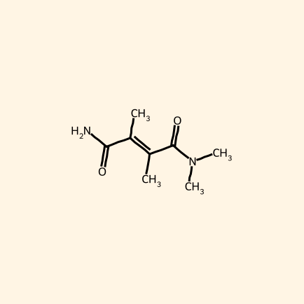 C/C(C(N)=O)=C(/C)C(=O)N(C)C